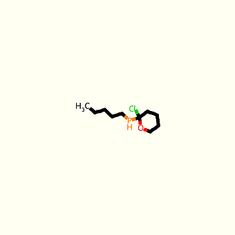 CCCCCPC1(Cl)CCCCO1